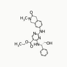 CCOC(=O)c1cnc(Nc2ccc3c(c2)CN(C)C(=O)C3)nc1N[C@H](CO)c1ccccc1